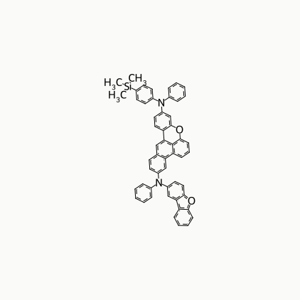 C[Si](C)(C)c1ccc(N(c2ccccc2)c2ccc3c(c2)Oc2cccc4c2c-3cc2ccc(N(c3ccccc3)c3ccc5oc6ccccc6c5c3)cc24)cc1